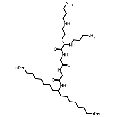 CCCCCCCCCCCCCCCCCC(CCCCCCCCCCCCCCCCC)NC(=O)CNC(=O)CNC(=O)[C@H](CCCNCCCN)NCCCN